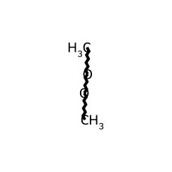 CCCCCCCOCCCCOCCCCCCC